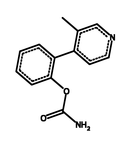 Cc1cnccc1-c1ccccc1OC(N)=O